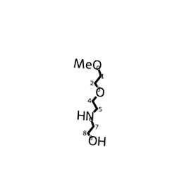 COCCOCCNCCO